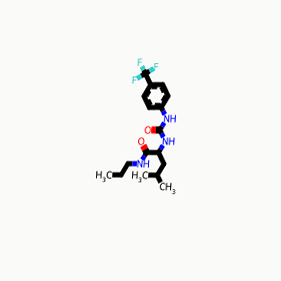 CCCNC(=O)C(CC(C)C)NC(=O)Nc1ccc(C(F)(F)F)cc1